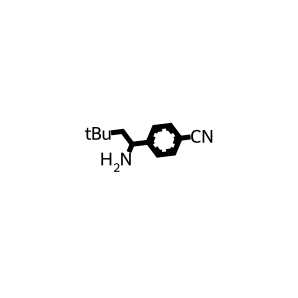 CC(C)(C)CC(N)c1ccc(C#N)cc1